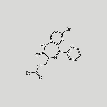 CCC(=O)OCC1N=C(c2ccccn2)c2cc(Br)ccc2NC1=O